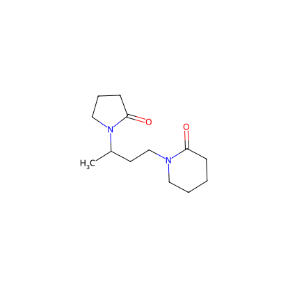 CC(CCN1CCCCC1=O)N1CCCC1=O